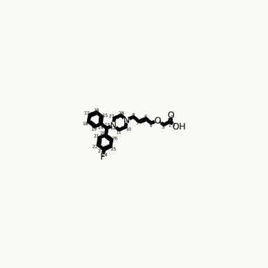 O=C(O)COCC=CCN1CCN(C(c2ccccc2)c2ccc(F)cc2)CC1